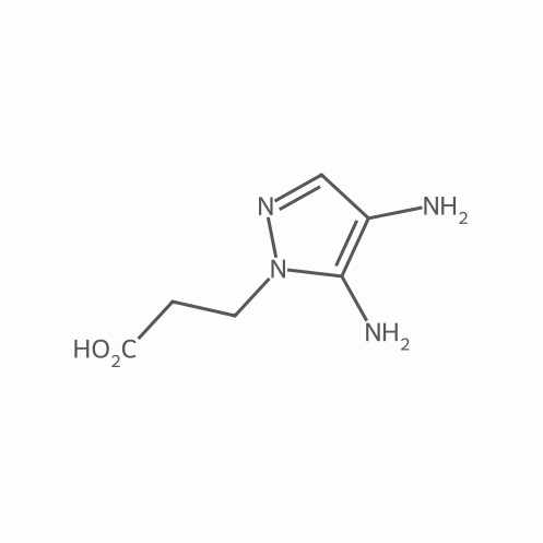 Nc1cnn(CCC(=O)O)c1N